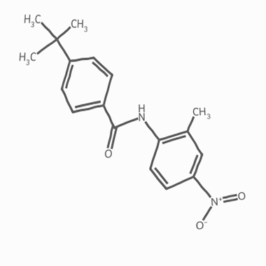 Cc1cc([N+](=O)[O-])ccc1NC(=O)c1ccc(C(C)(C)C)cc1